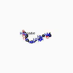 COc1ccc(C(=O)N2CCC(CN3CCN(CCCNc4ncnc5c4ncn5C4CC(NC(=O)c5cccc(C)n5)C4)CC3)CC2)cc1N1CCC(=O)NC1=O